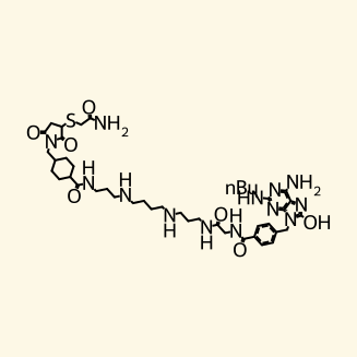 CCCCNc1nc(N)c2nc(O)n(Cc3ccc(C(=O)NCC(=O)NCCCNCCCCNCCCNC(=O)C4CCC(CN5C(=O)CC(SCC(N)=O)C5=O)CC4)cc3)c2n1